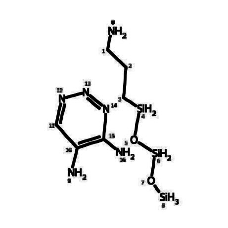 NCCC[SiH2]O[SiH2]O[SiH3].Nc1cnnnc1N